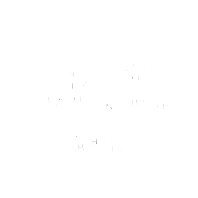 CC1(C)c2cc(N(c3cc4c5c(c3)C(C)(C)c3cccc6ccc(c-5c36)C4(C)C)c3cc4c5c(c3)C(C)(C)c3cccc6ccc(c-5c36)C4(C)C)cc3c2-c2c1ccc1c2C(CC=C1)C3(C)C